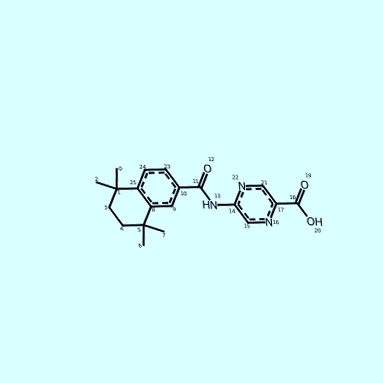 CC1(C)CCC(C)(C)c2cc(C(=O)Nc3cnc(C(=O)O)cn3)ccc21